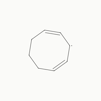 [CH]1C=CCCCC=C1